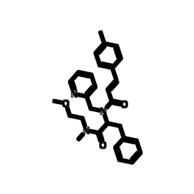 COCCN(C)C(=O)C(Cc1ccccc1)N(Cc1ccccn1)C(=O)C=Cc1ccc(C)cc1